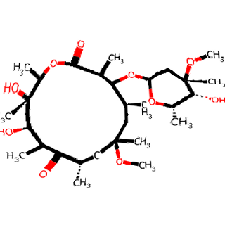 COC1(C)C[C@H](C)C(=O)C(C)[C@@H](O)[C@](C)(O)C(C)OC(=O)C(C)C(OC2C[C@](C)(OC)[C@H](O)[C@H](C)O2)[C@@H](C)C1